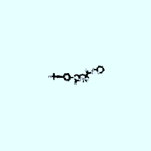 CC(C)(O)C#Cc1ccc(N2CC(CC(C)(C(=O)NOC3CCCCO3)S(C)(=O)=O)OC2=O)cc1